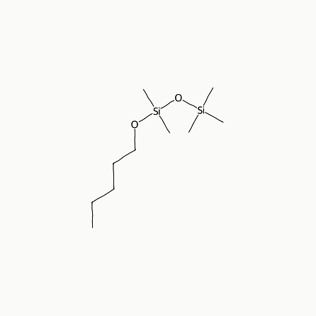 CCCCCO[Si](C)(C)O[Si](C)(C)C